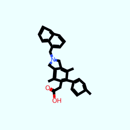 Cc1ccc(-c2c(C)c3c(c(C)c2CC(=O)O)CN(Cc2cccc4ccccc24)C3)cc1